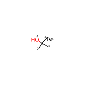 CC(C)(C)O.[Te]